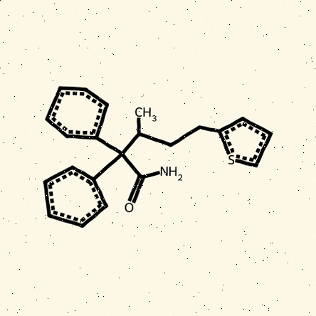 CC(CCc1cccs1)C(C(N)=O)(c1ccccc1)c1ccccc1